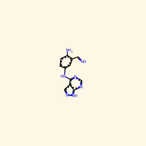 N=Cc1cc(Nc2ncnc3[nH]ncc23)ccc1N